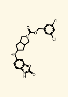 O=C(OCc1cc(Cl)cc(Cl)c1)N1CC2CC(Nc3ccc4[nH]c(=O)oc4c3)CC2C1